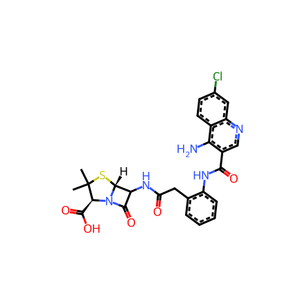 CC1(C)S[C@@H]2C(NC(=O)Cc3ccccc3NC(=O)c3cnc4cc(Cl)ccc4c3N)C(=O)N2[C@H]1C(=O)O